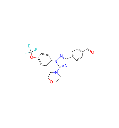 O=Cc1ccc(-c2nc(N3CCOCC3)n(-c3ccc(OC(F)(F)F)cc3)n2)cc1